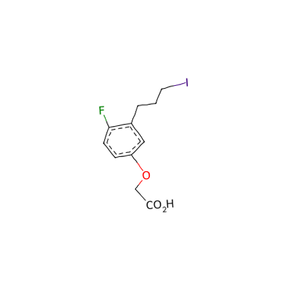 O=C(O)COc1ccc(F)c(CCCI)c1